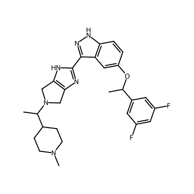 CC(Oc1ccc2[nH]nc(-c3nc4c([nH]3)CN(C(C)C3CCN(C)CC3)C4)c2c1)c1cc(F)cc(F)c1